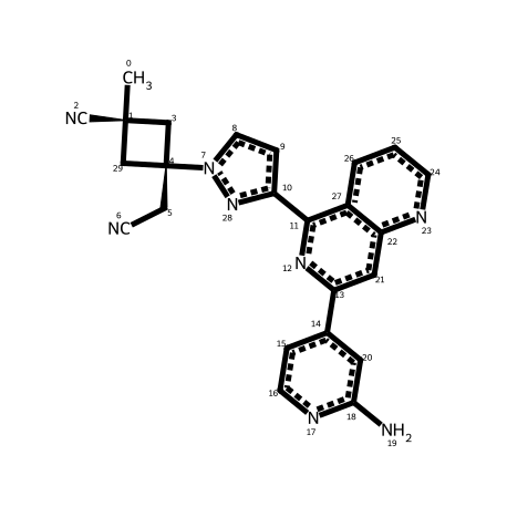 C[C@]1(C#N)C[C@](CC#N)(n2ccc(-c3nc(-c4ccnc(N)c4)cc4ncccc34)n2)C1